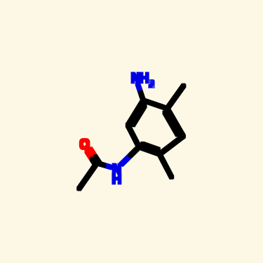 CC(=O)Nc1cc(N)c(C)cc1C